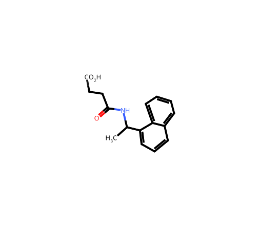 CC(NC(=O)CCC(=O)O)c1cccc2ccccc12